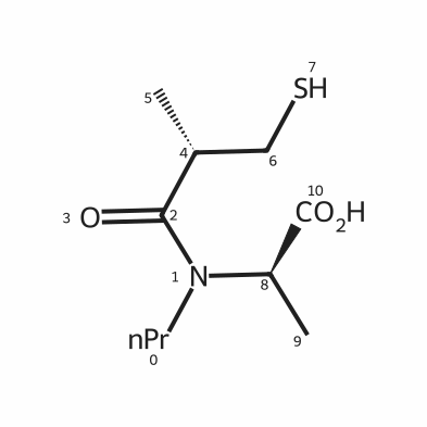 CCCN(C(=O)[C@H](C)CS)[C@H](C)C(=O)O